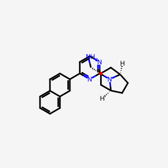 NC[C@@H]1C[C@H]2CC[C@@H](C1)N2c1nccc(-c2ccc3ccccc3c2)n1